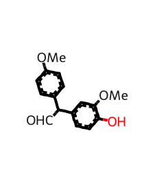 COc1ccc(C(C=O)c2ccc(O)c(OC)c2)cc1